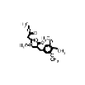 CCOC(=O)CCN(C)CC(Cc1cc(OC)c(CC)c(OC)c1)C(=O)O